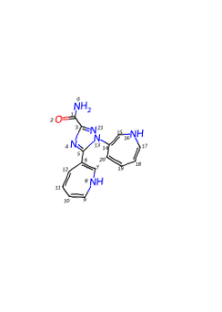 NC(=O)c1nc(C2=CNC=CC=C2)n(C2=CNC=CC=C2)n1